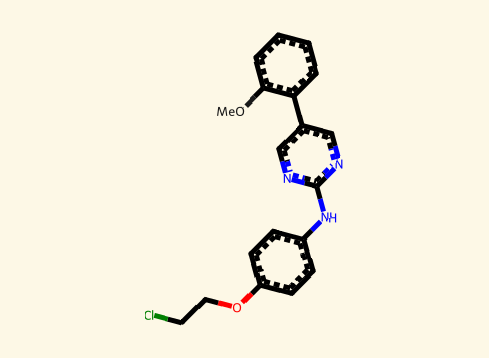 COc1ccccc1-c1cnc(Nc2ccc(OCCCl)cc2)nc1